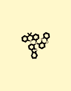 CC1(C)c2ccccc2Sc2c(N(c3cccc4c3Sc3ccccc3O4)c3cccc4c3sc3ccccc34)cccc21